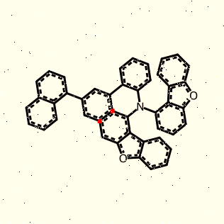 c1cc(-c2ccccc2N(c2cccc3oc4ccccc4c23)c2cccc3oc4ccccc4c23)cc(-c2cccc3ccccc23)c1